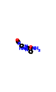 NC(=O)c1ccccc1-c1ccnc(Nc2ccc(N3CCOCC3)cc2)n1